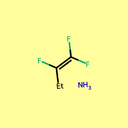 CCC(F)=C(F)F.N